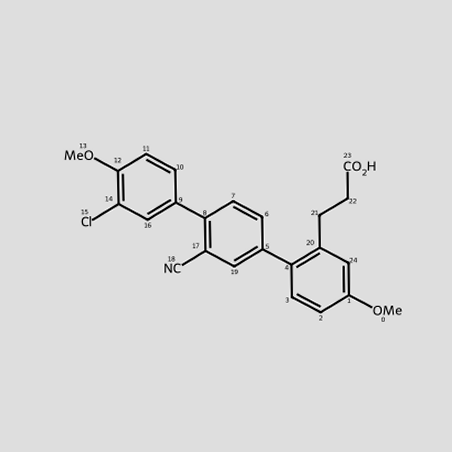 COc1ccc(-c2ccc(-c3ccc(OC)c(Cl)c3)c(C#N)c2)c(CCC(=O)O)c1